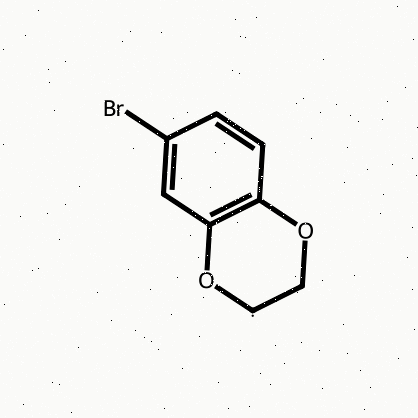 Brc1ccc2c(c1)O[CH]CO2